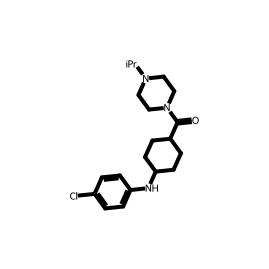 CC(C)N1CCN(C(=O)C2CCC(Nc3ccc(Cl)cc3)CC2)CC1